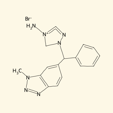 Cn1nnc2ccc(C(c3ccccc3)N3C[N+](N)=C=N3)cc21.[Br-]